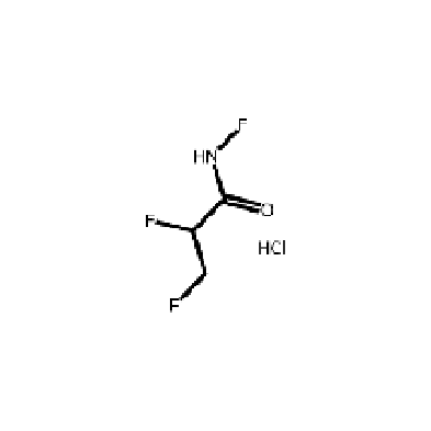 Cl.O=C(NF)C(F)CF